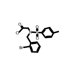 Cc1ccc(S(=O)(=O)N(CC(=O)Cl)Cc2ccccc2Br)cc1